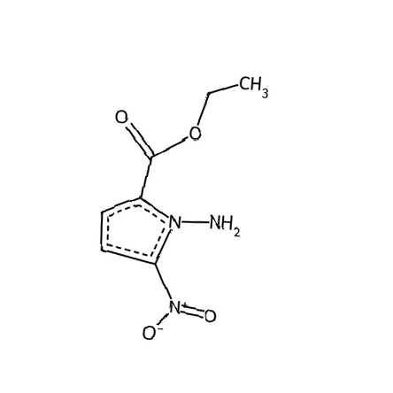 CCOC(=O)c1ccc([N+](=O)[O-])n1N